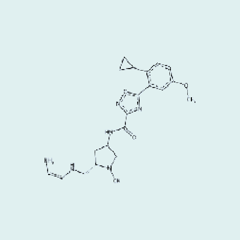 N#CN1CC(NC(=O)c2noc(-c3cc(OC(F)(F)F)ccc3C3CC3)n2)C[C@H]1CN/C=C\N